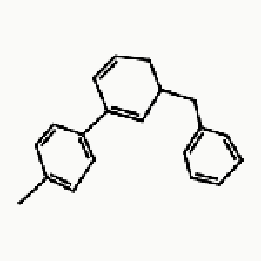 Cc1ccc(C2=CC(Cc3ccccc3)CC=C2)cc1